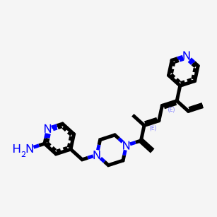 C=C/C(=C\C=C(/C)C(=C)N1CCN(Cc2ccnc(N)c2)CC1)c1ccncc1